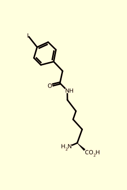 N[C@@H](CCCCNC(=O)Cc1ccc(I)cc1)C(=O)O